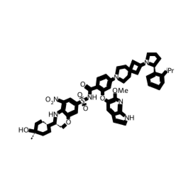 COc1nc2[nH]ccc2cc1Oc1cc(N2CCC3(CC2)CC(N2CCC[C@H]2c2ccccc2C(C)C)C3)ccc1C(=O)NS(=O)(=O)c1cc2c(c([N+](=O)[O-])c1)N[C@@H]([C@H]1CC[C@](C)(O)CC1)CO2